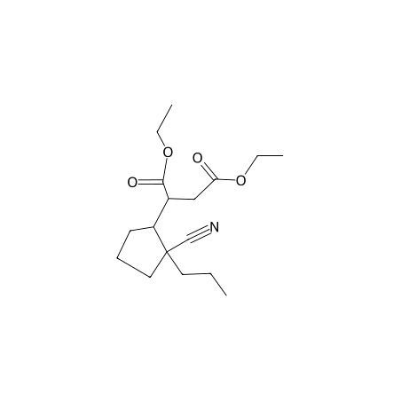 CCCC1(C#N)CCCC1C(CC(=O)OCC)C(=O)OCC